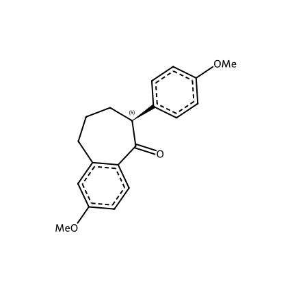 COc1ccc([C@@H]2CCCc3cc(OC)ccc3C2=O)cc1